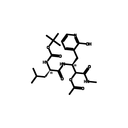 CNC(=O)C(OC(C)=O)[C@H](Cc1cccnc1O)NC(=O)[C@H](CC(C)C)NC(=O)OC(C)(C)C